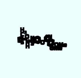 COc1cc2nccc(Oc3ccc4nc(NC(=O)c5sccc5C)sc4c3)c2cc1OC